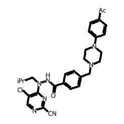 CC(=O)c1ccc(N2CCN(Cc3ccc(C(=O)NN(CC(C)C)c4nc(C#N)ncc4Cl)cc3)CC2)cc1